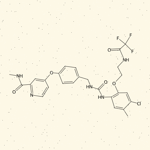 CNC(=O)c1cc(Oc2ccc(CNC(=O)Nc3cc(C)c(Cl)cc3OCCNC(=O)C(F)(F)F)cc2)ccn1